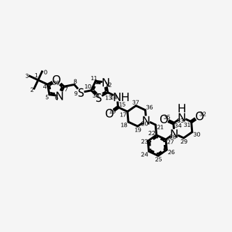 CC(C)(C)c1cnc(CSc2cnc(NC(=O)C3CCN(Cc4ccccc4N4CCC(=O)NC4=O)CC3)s2)o1